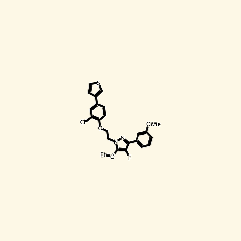 CCOc1c(F)c(-c2cccc(OC)c2)nn1CCOc1ccc(-c2ccsc2)cc1Cl